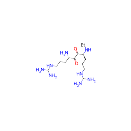 CCN[C@@H](CCCNC(N)N)C(=O)C(=O)[C@@H](N)CCCNC(N)N